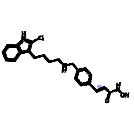 O=C(/C=C/c1ccc(CNCCCCc2c(Cl)[nH]c3ccccc23)cc1)NO